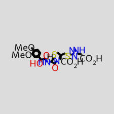 COc1ccc(C(O)C(=O)NC2C(=O)N3C(C(=O)O)=C(CSc4n[nH]c(CC(=O)O)n4)CS[C@@H]23)cc1OC